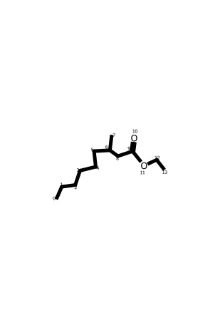 CCCCCCC(C)CC(=O)OCC